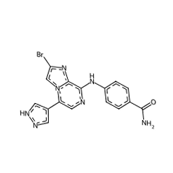 NC(=O)c1ccc(Nc2ncc(-c3cn[nH]c3)n3cc(Br)nc23)cc1